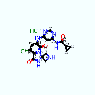 Cl.O=C1NC2(CNC2)n2c1c(Cl)cc(Nc1cc(NC(=O)C3CC3)ncn1)c2=O